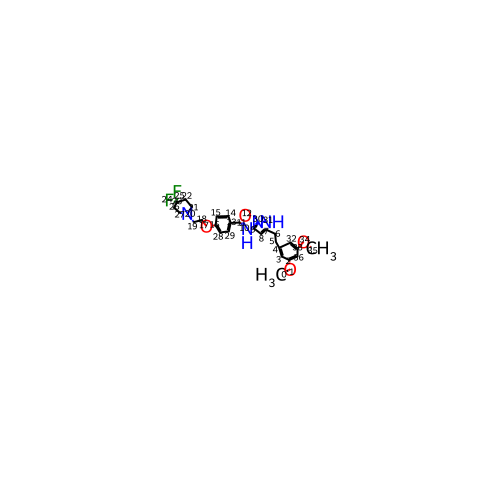 COc1cc(CCc2cc(NC(=O)c3ccc(OCCN4CCC(F)(F)CC4)cc3)n[nH]2)cc(OC)c1